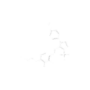 COc1ccc(-n2ccc(C(F)(F)F)c2COc2ccc(CCCO)c(C)c2C)cc1